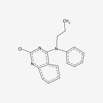 CCCN(c1ccccc1)c1nc(Cl)nc2ccccc12